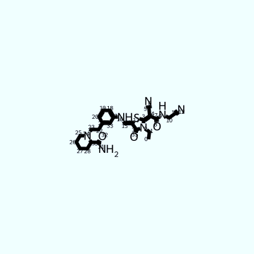 CCn1c(=C(C#N)C(=O)NCC#N)sc(=CNc2cccc(CCN3CCCCC3C(N)=O)c2)c1=O